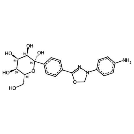 Nc1ccc(N2COC(c3ccc([C@@]4(O)O[C@H](CO)[C@@H](O)[C@@H](O)[C@H]4O)cc3)=N2)cc1